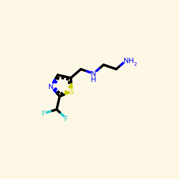 NCCNCc1cnc(C(F)F)s1